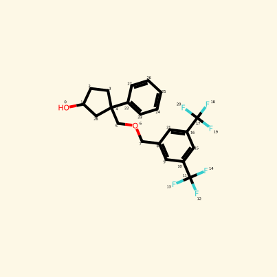 OC1CCC(COCc2cc(C(F)(F)F)cc(C(F)(F)F)c2)(c2ccccc2)C1